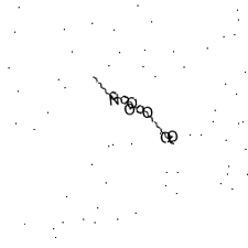 C=CC(=O)OCCCCCCCCOc1ccc(C(=O)Oc2ccc(-c3ccc(CCCCCCC)cn3)cc2)cc1